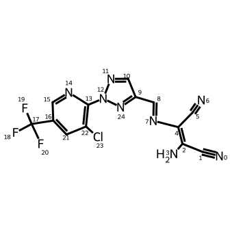 N#CC(N)=C(C#N)N=Cc1cnn(-c2ncc(C(F)(F)F)cc2Cl)n1